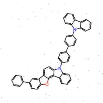 c1ccc(-c2ccc3oc4c(ccc5c4c4ccccc4n5-c4ccc(-c5ccc(-n6c7ccccc7c7ccccc76)cc5)cc4)c3c2)cc1